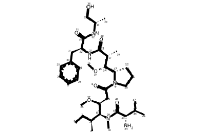 CC[C@H](C)[C@@H]([C@H](CC(=O)N1CCC[C@H]1[C@H](OC)[C@@H](C)C(=O)N[C@@H](Cc1ccccc1)C(=O)N[C@@H](C)CO)OC)N(C)C(=O)[C@@H](N)C(C)C